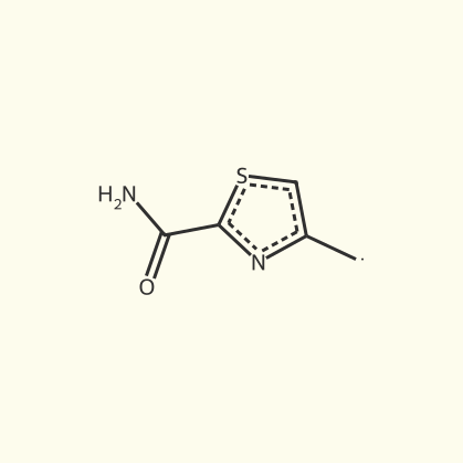 [CH2]c1csc(C(N)=O)n1